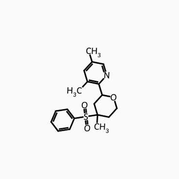 Cc1cnc(C2CC(C)(S(=O)(=O)c3ccccc3)CCO2)c(C)c1